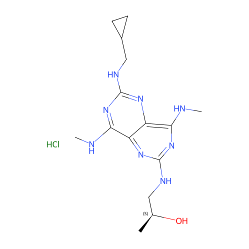 CNc1nc(NC[C@H](C)O)nc2c(NC)nc(NCC3CC3)nc12.Cl